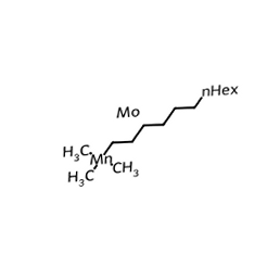 CCCCCCCCCCC[CH2][Mn]([CH3])([CH3])[CH3].[Mo]